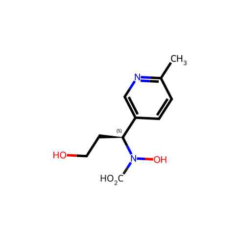 Cc1ccc([C@H](CCO)N(O)C(=O)O)cn1